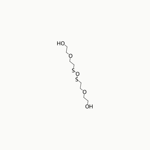 OCCOCCSOSCCOCCO